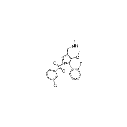 CNCc1cn(S(=O)(=O)c2cccc(Cl)c2)c(-c2ccccc2F)c1OC